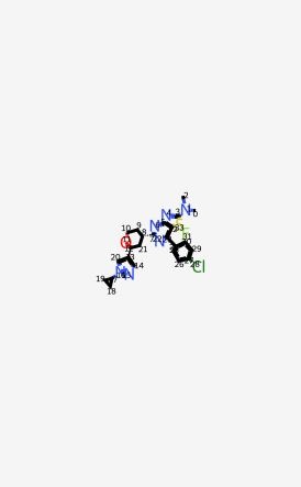 CN(C)c1nc2nc([C@H]3CCO[C@H](c4cnn(C5CC5)c4)C3)nc(-c3ccc(Cl)cc3F)c2s1